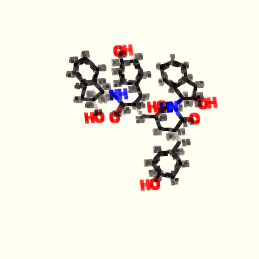 O=C(N[C@H]1c2ccccc2C[C@H]1O)[C@H](Cc1ccc(O)cc1)CC(O)C[C@@H](Cc1ccc(O)cc1)C(=O)N[C@H]1c2ccccc2C[C@H]1O